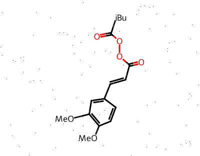 CCC(C)C(=O)OOC(=O)C=Cc1ccc(OC)c(OC)c1